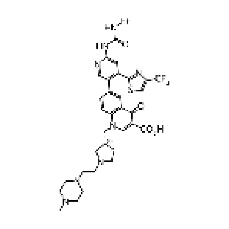 CCNC(=O)Nc1cc(-c2nc(C(F)(F)F)cs2)c(-c2ccc3c(c2)c(=O)c(C(=O)O)cn3C[C@@H]2CCN(CCN3CCN(C)CC3)C2)cn1